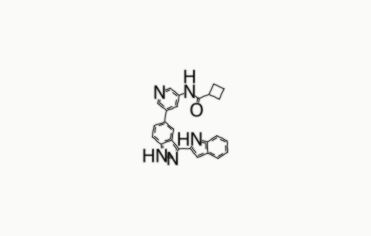 O=C(Nc1cncc(-c2ccc3[nH]nc(-c4cc5ccccc5[nH]4)c3c2)c1)C1CCC1